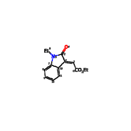 CCOC(=O)/C=C1/C(=O)N(CC)c2ccccc21